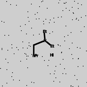 CCCCN(CC)CC.I